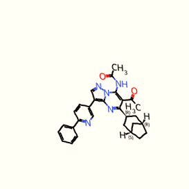 CC(=O)Nc1c(C(C)=O)c([C@H]2C[C@@H]3CC[C@@H](C3)C2)nc2c(-c3ccc(-c4ccccc4)nc3)cnn12